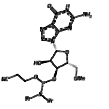 COC[C@H]1O[C@@H](n2cnc3c(=O)[nH]c(N)nc32)[C@H](O)[C@@H]1OP(OCCC#N)N(C(C)C)C(C)C